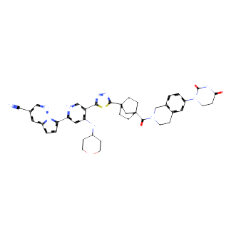 N#Cc1cnn2c(-c3cc(NC4CCOCC4)c(-c4nnc(C56CCC(C(=O)N7CCc8cc(N9CCC(=O)NC9=O)ccc8C7)(CC5)C6)s4)cn3)ccc2c1